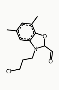 Cc1cc(C)c2c(c1)N(CCCCl)C(C=O)O2